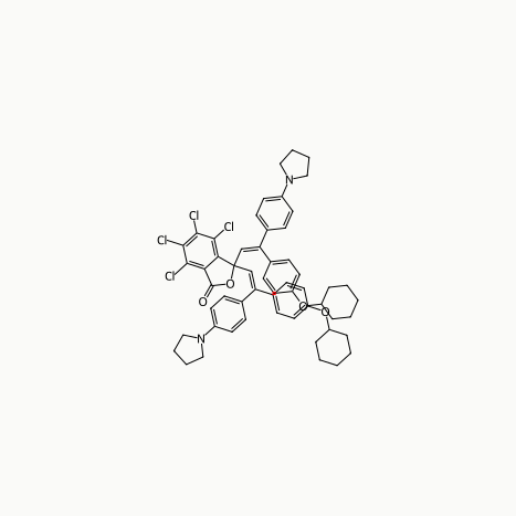 O=C1OC(C=C(c2ccc(OC3CCCCC3)cc2)c2ccc(N3CCCC3)cc2)(C=C(c2ccc(OC3CCCCC3)cc2)c2ccc(N3CCCC3)cc2)c2c(Cl)c(Cl)c(Cl)c(Cl)c21